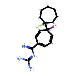 N=C(N=C(N)N)C1=CC=CC(I)(C2(F)CCCCCC2)C=C1